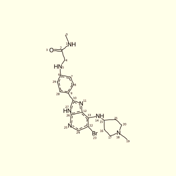 CNC(=O)CNc1ccc(-c2nc3c(NC4CCN(C)CC4)c(Br)cnc3[nH]2)cc1